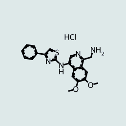 COc1cc2c(Nc3nc(-c4ccccc4)cs3)cnc(CN)c2cc1OC.Cl